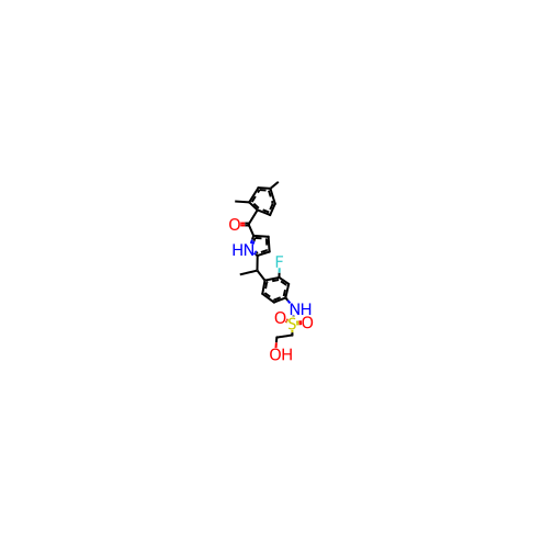 Cc1ccc(C(=O)c2ccc(C(C)c3ccc(NS(=O)(=O)CCO)cc3F)[nH]2)c(C)c1